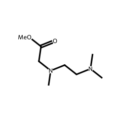 COC(=O)CN(C)CCN(C)C